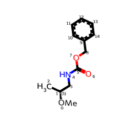 CO[C@@H](C)CNC(=O)OCc1ccccc1